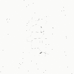 C[C@H](CC(=O)C(F)(F)F)C1CC[C@@]2(C)C3CCC4C(C)(C)[C@@H](C)CC[C@@]45CC35CC[C@]12C